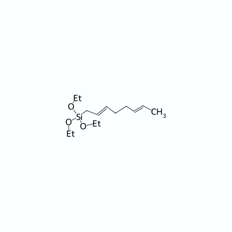 CC=CCCC=CC[Si](OCC)(OCC)OCC